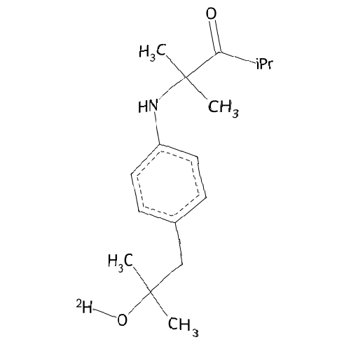 [2H]OC(C)(C)Cc1ccc(NC(C)(C)C(=O)C(C)C)cc1